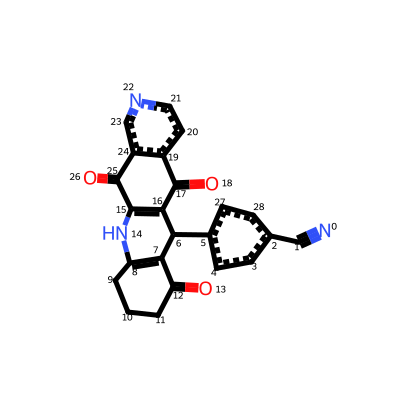 N#Cc1ccc(C2C3=C(CCCC3=O)NC3=C2C(=O)c2ccncc2C3=O)cc1